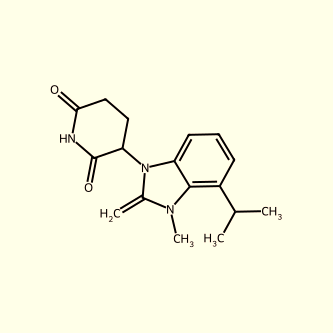 C=C1N(C)c2c(C(C)C)cccc2N1C1CCC(=O)NC1=O